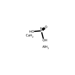 O=[PH](O)O.[AlH3].[CaH2]